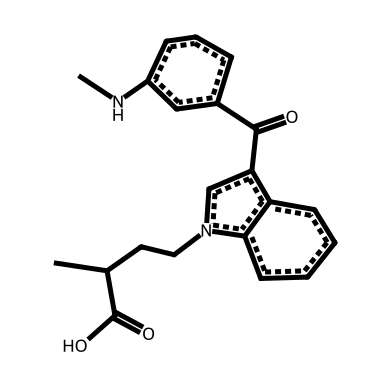 CNc1cccc(C(=O)c2cn(CCC(C)C(=O)O)c3ccccc23)c1